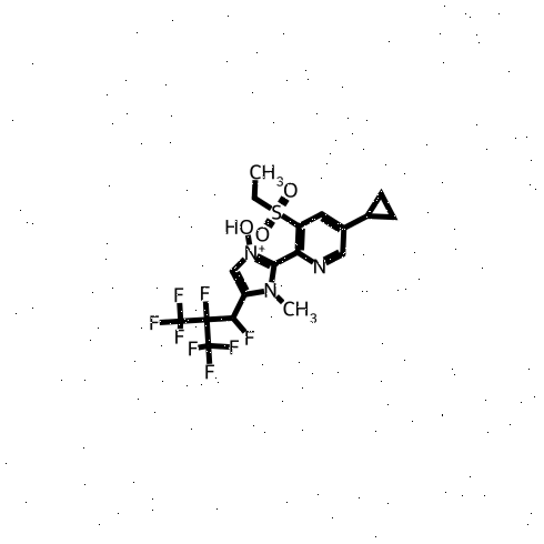 CCS(=O)(=O)c1cc(C2CC2)cnc1-c1n(C)c(C(F)C(F)(C(F)(F)F)C(F)(F)F)c[n+]1O